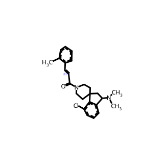 Cc1ccccc1/C=C/C(=O)N1CCC2(CC1)CC(N(C)C)c1cccc(Cl)c12